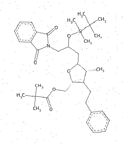 C[C@H]1C(CC(CN2C(=O)c3ccccc3C2=O)O[Si](C)(C)C(C)(C)C)O[C@@H](COC(=O)C(C)(C)C)C1CCc1ccccc1